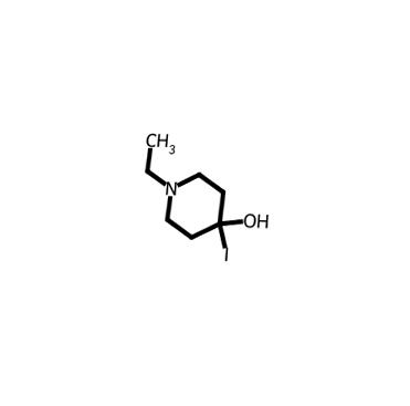 CCN1CCC(O)(I)CC1